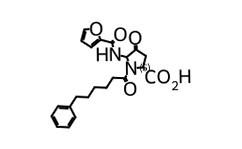 O=C(NC1C(=O)C[C@@H](C(=O)O)N1C(=O)CCCCCc1ccccc1)c1ccco1